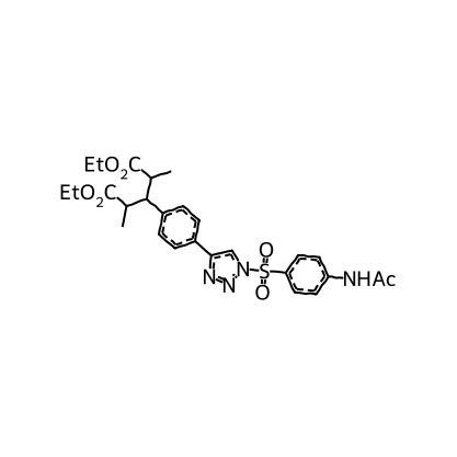 CCOC(=O)C(C)C(c1ccc(-c2cn(S(=O)(=O)c3ccc(NC(C)=O)cc3)nn2)cc1)C(C)C(=O)OCC